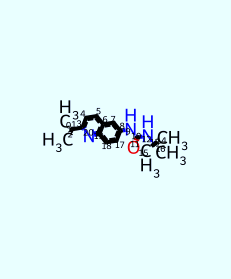 CC(C)c1ccc2cc(NC(=O)NC(C)(C)C)ccc2n1